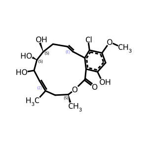 COc1cc(O)c2c(c1Cl)/C=C/C[C@H](O)[C@H](O)C(O)/C=C(/C)C[C@H](C)OC2=O